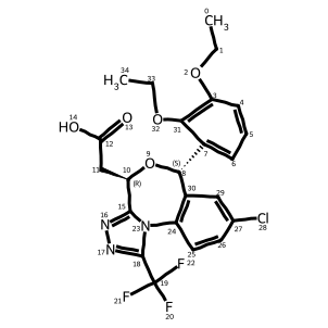 CCOc1cccc([C@H]2O[C@H](CC(=O)O)c3nnc(C(F)(F)F)n3-c3ccc(Cl)cc32)c1OCC